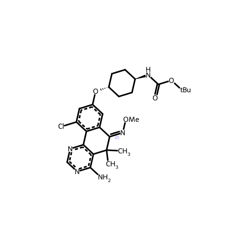 CO/N=C1\c2cc(O[C@H]3CC[C@H](NC(=O)OC(C)(C)C)CC3)cc(Cl)c2-c2ncnc(N)c2C1(C)C